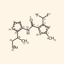 Cc1nc(C(F)F)c(C(=O)Nc2ccsc2C(C)CC(C)(C)C)s1